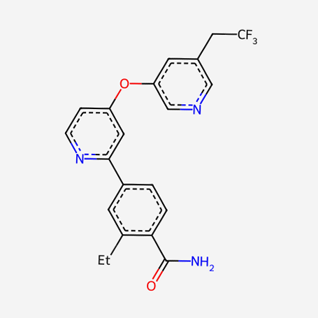 CCc1cc(-c2cc(Oc3cncc(CC(F)(F)F)c3)ccn2)ccc1C(N)=O